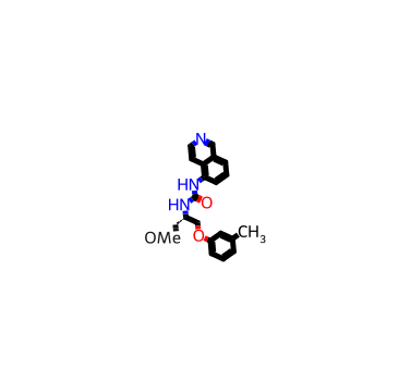 COC[C@@H](COc1cccc(C)c1)NC(=O)Nc1cccc2cnccc12